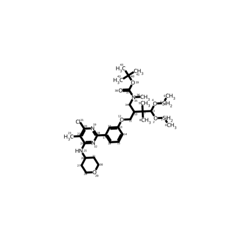 C[SiH2]OC(O[SiH2]C)C(C)(C)C(COc1cccc(-c2nc(Cl)c(C)c(NC3CCOCC3)n2)c1)CN(C)C(=O)OC(C)(C)C